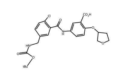 CC(C)(C)OC(=O)NCc1ccc(Cl)c(C(=O)Nc2ccc(OC3CCOC3)c(C(=O)O)c2)c1